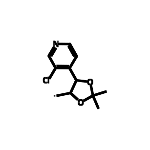 [CH2]C1OC(C)(C)OC1c1ccncc1Cl